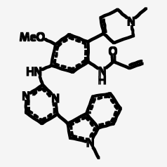 C=CC(=O)Nc1cc(Nc2nccc(-c3cn(C)c4ccccc34)n2)c(OC)cc1C1=CCN(C)CC1